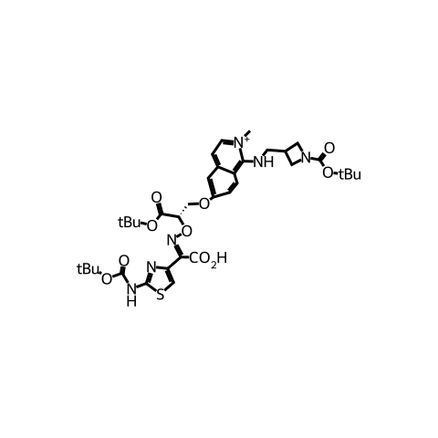 C[n+]1ccc2cc(OC[C@H](O/N=C(\C(=O)O)c3csc(NC(=O)OC(C)(C)C)n3)C(=O)OC(C)(C)C)ccc2c1NCC1CN(C(=O)OC(C)(C)C)C1